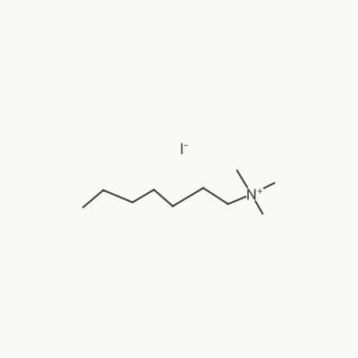 CCCCCCC[N+](C)(C)C.[I-]